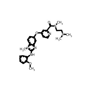 COc1ccccc1Nc1nc2cc(Oc3ccnc(C(=O)N(C)CCN(C)C)c3)ccc2n1C